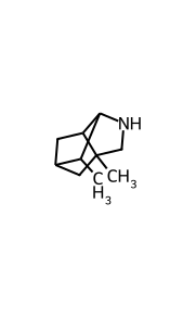 CC1C2CC3C1NCC3(C)C2